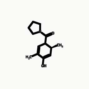 CC1=CC(C(=O)N2CCCC2)[C@@H](C)C=C1O